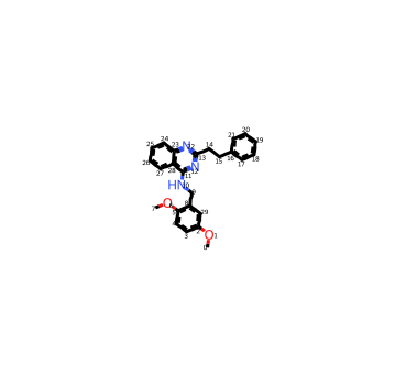 COc1ccc(OC)c(CNc2nc(CCc3ccccc3)nc3ccccc23)c1